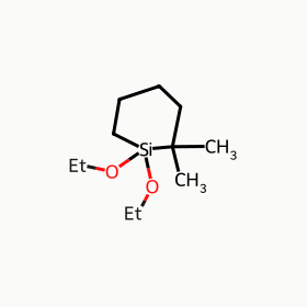 CCO[Si]1(OCC)CCCCC1(C)C